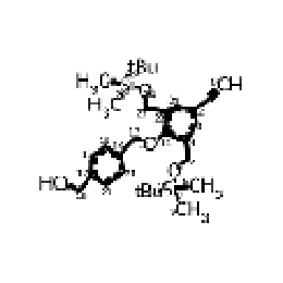 C#Cc1cc(CO[Si](C)(C)C(C)(C)C)c(OCc2ccc(CO)cc2)c(CO[Si](C)(C)C(C)(C)C)c1